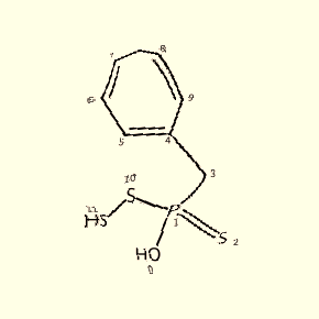 OP(=S)(Cc1ccccc1)SS